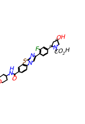 O=C(NC1CCOCC1)c1ccc2c(c1)sc1nc(-c3ccc([C@H]4C[C@@H](O)CN4C(=O)O)cc3F)cn12